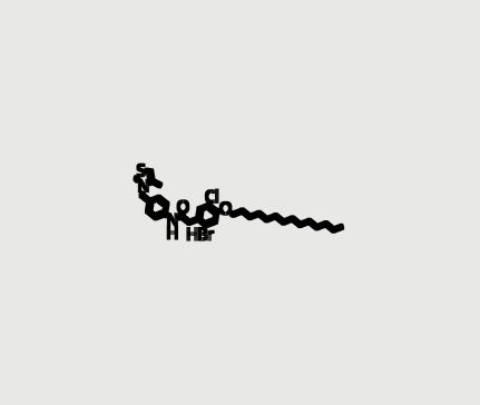 Br.CCCCCCCCCCCCCCOc1ccc(CC(=O)Nc2ccc(CN3CSC=C3C)cc2)cc1Cl